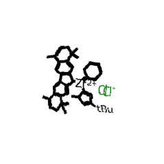 CC1=CCC(C)(C)c2cc3c(cc21)-c1cc2c(cc1[CH]3[Zr+2]([C]1=CC(C(C)(C)C)=CC1C)=[C]1CCCCC1)C(C)(C)CC=C2C.[Cl-].[Cl-]